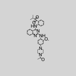 COc1cc(N2CCN(C(C)=O)CC2)ccc1Nc1nc(Nc2ccccc2S(=O)(=O)C(C)C)c2ccccc2n1